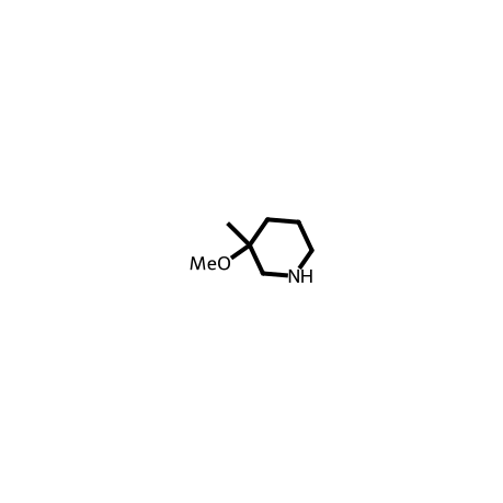 COC1(C)CCCNC1